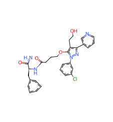 NC(=O)[C@H](Cc1ccccc1)NC(=O)CCCOc1c(CCO)c(-c2cccnc2)nn1-c1cccc(Cl)c1